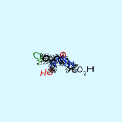 Cc1cc(N2CCN(C(=O)c3ccc4c(-c5ccc(Cl)c(F)c5)cn(CC(C)(C)O)c4n3)C(C)(C)C2)nc(C)c1C(=O)O